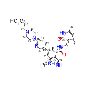 Cc1cc(C)c(CNC(=O)c2cc(-c3ccc(N4CCN(CCC(=O)O)CC4)nc3)cc(NC(C)C)c2C=N)c(=O)[nH]1